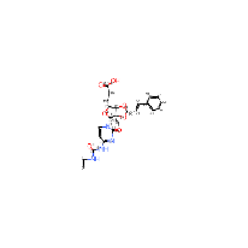 CCNC(=O)Nc1ccn([C@@H]2O[C@H](CCC(=O)O)C3O[C@H](/C=C/c4ccccc4)O[C@@H]32)c(=O)n1